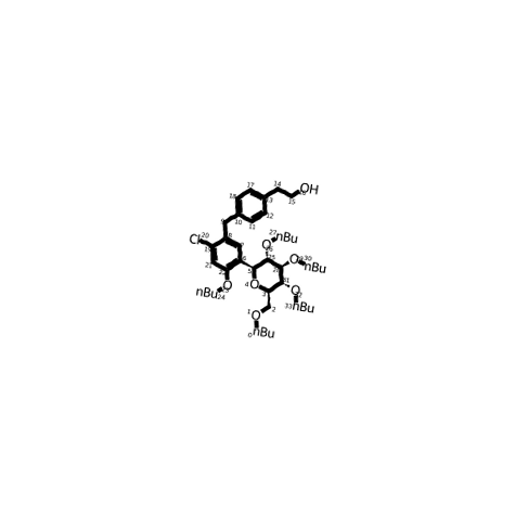 CCCCOC[C@H]1O[C@@H](c2cc(Cc3ccc(CCO)cc3)c(Cl)cc2OCCCC)[C@H](OCCCC)[C@@H](OCCCC)[C@@H]1OCCCC